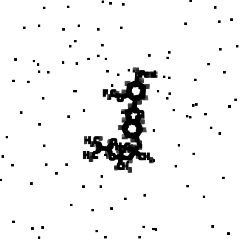 C=C(C)C(=O)OC(C)(C)CC(C)(C)Sc1ccc2cc(-c3ccc(CCCCC)cc3OC(F)(F)F)oc2c1